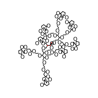 O=C(CC(=O)ON1C(=O)CCC1=O)OCCOCC(OCCOC(=O)CC(=O)ON1C(=O)CCC1=O)C(OCCOC(=O)CC(=O)ON1C(=O)CCC1=O)C(COCCCCOCC(OCCOCC(=O)ON1C(=O)CCC1=O)C(OCCOCC(=O)ON1C(=O)CCC1=O)C(COCCOCC(=O)ON1C(=O)CCC1=O)OCCOCC(=O)ON1C(=O)CCC1=O)OCCOC(=O)CC(=O)ON1C(=O)CCC1=O